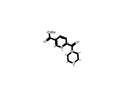 COC(=O)c1ccc(C(=O)N2CCOCC2)nc1